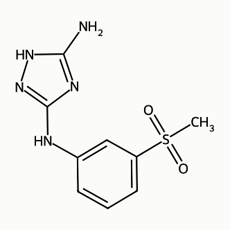 CS(=O)(=O)c1cccc(Nc2n[nH]c(N)n2)c1